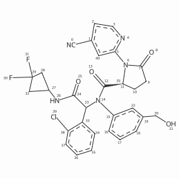 N#Cc1ccnc(N2C(=O)CC[C@H]2C(=O)N(c2cccc(CO)c2)C(C(=O)NC2CC(F)(F)C2)c2ccccc2Cl)c1